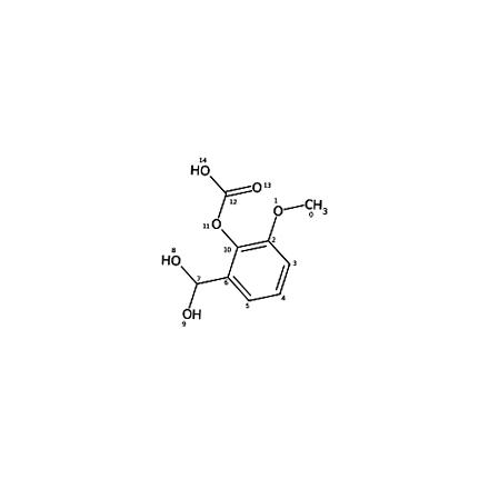 COc1cccc(C(O)O)c1OC(=O)O